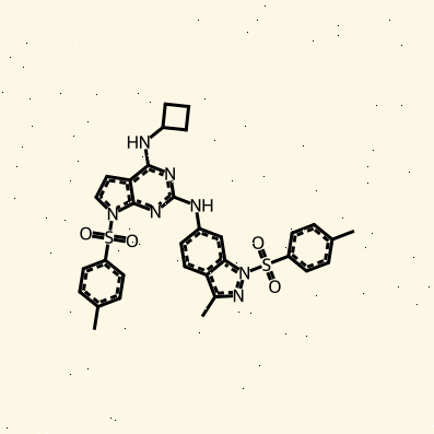 Cc1ccc(S(=O)(=O)n2ccc3c(NC4CCC4)nc(Nc4ccc5c(C)nn(S(=O)(=O)c6ccc(C)cc6)c5c4)nc32)cc1